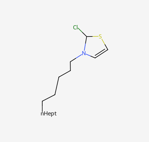 CCCCCCCCCCCCN1C=CSC1Cl